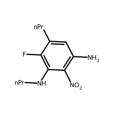 CCCNc1c(F)c(CCC)cc(N)c1[N+](=O)[O-]